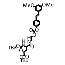 COc1cc(/C=C/c2ccc(OC(=O)OCCNC(=O)C(CCC(=O)OC(C)(C)C)NC(=O)OC(C)(C)C)cc2)cc(OC)c1